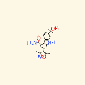 Cc1noc(C)c1-c1cc(C(N)=O)c2c(c1)[nH]c1cc(C(C)(C)O)ccc12